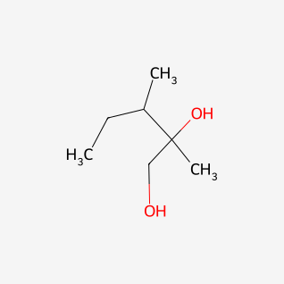 CCC(C)C(C)(O)CO